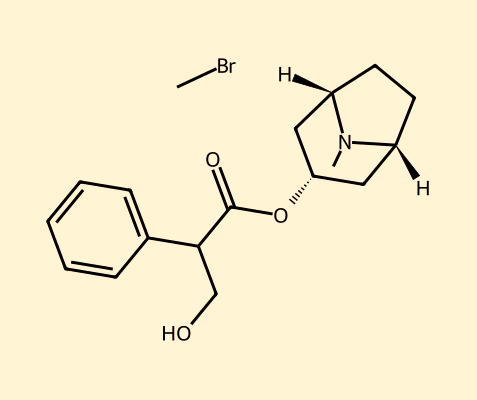 CBr.CN1[C@@H]2CC[C@H]1C[C@@H](OC(=O)C(CO)c1ccccc1)C2